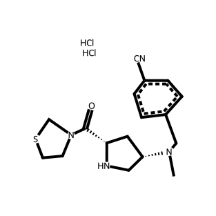 CN(Cc1ccc(C#N)cc1)[C@@H]1CN[C@H](C(=O)N2CCSC2)C1.Cl.Cl